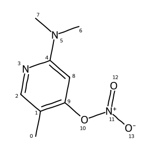 Cc1cnc(N(C)C)cc1O[N+](=O)[O-]